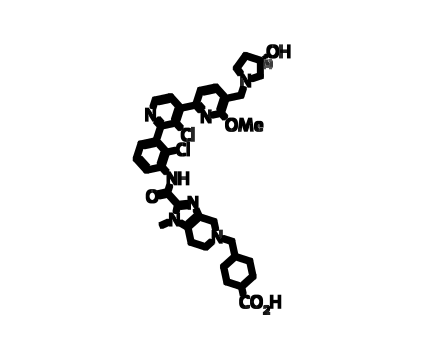 COc1nc(-c2ccnc(-c3cccc(NC(=O)c4nc5c(n4C)CCN(CC4CCC(C(=O)O)CC4)C5)c3Cl)c2Cl)ccc1CN1CC[C@H](O)C1